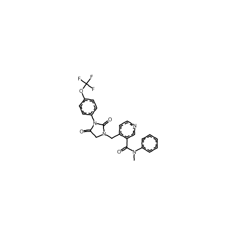 CN(C(=O)c1cnccc1CN1CC(=O)N(c2ccc(OC(F)(F)F)cc2)C1=O)c1ccccc1